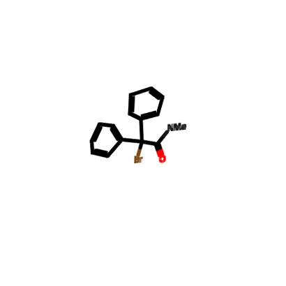 CNC(=O)C(Br)(c1ccccc1)c1ccccc1